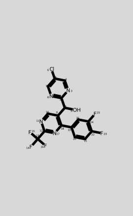 OC(c1ncc(Cl)cn1)c1cnc(C(F)(F)F)nc1-c1ccc(F)c(F)c1